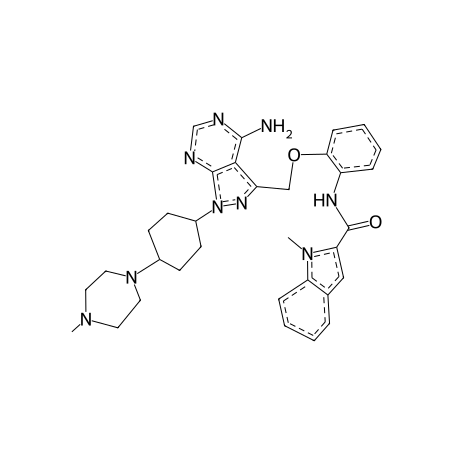 CN1CCN(C2CCC(n3nc(COc4ccccc4NC(=O)c4cc5ccccc5n4C)c4c(N)ncnc43)CC2)CC1